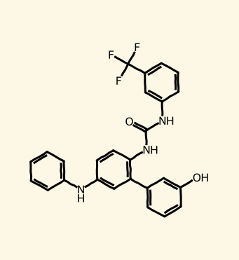 O=C(Nc1cccc(C(F)(F)F)c1)Nc1ccc(Nc2ccccc2)cc1-c1cccc(O)c1